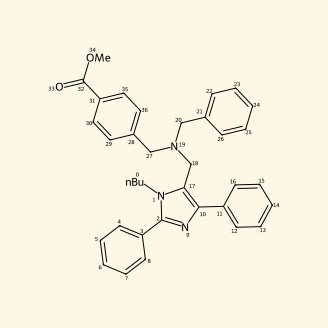 CCCCn1c(-c2ccccc2)nc(-c2ccccc2)c1CN(Cc1ccccc1)Cc1ccc(C(=O)OC)cc1